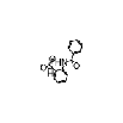 O=C(Nc1ccccc1[SH](=O)=O)c1ccccc1